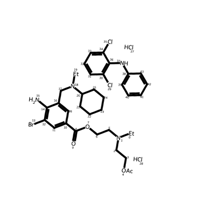 CCN(CCOC(C)=O)CCOC(=O)c1cc(Br)c(N)c(CN(CC)C2CCCCC2)c1.Cl.Cl.Clc1cccc(Cl)c1Nc1ccccc1